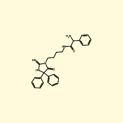 N=C1NC(c2ccccc2)(c2ccccc2)C(=O)N1CCCCNC(=O)C(N)c1ccccc1